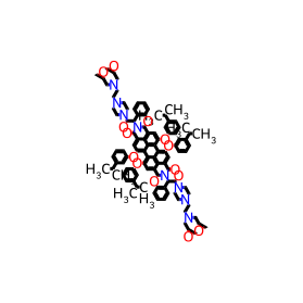 CC(C)c1cccc(Oc2cc3c4c(cc(Oc5cccc(C(C)C)c5)c5c6c(Oc7cccc(C(C)C)c7)cc7c8c(cc(Oc9cccc(C(C)C)c9)c(c2c45)c86)C(=O)N(C(C(=O)N2CCN(CCN(CC4CO4)CC4CO4)CC2)c2ccccc2)C7=O)C(=O)N(C(C(=O)N2CCN(CCN(CC4CO4)CC4CO4)CC2)c2ccccc2)C3=O)c1